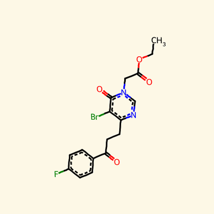 CCOC(=O)Cn1cnc(CCC(=O)c2ccc(F)cc2)c(Br)c1=O